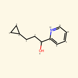 OC(CCC1CC1)c1ccccn1